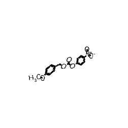 COc1ccc(COC(=O)Oc2ccc([N+](=O)[O-])cc2)cc1